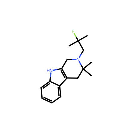 CC(C)(F)CN1Cc2[nH]c3ccccc3c2CC1(C)C